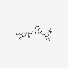 O=C(N/N=C/c1ccc(OCc2cc(C(F)(F)F)cc(C(F)(F)F)c2)c2ccccc12)c1ccc(O)c(Cl)c1